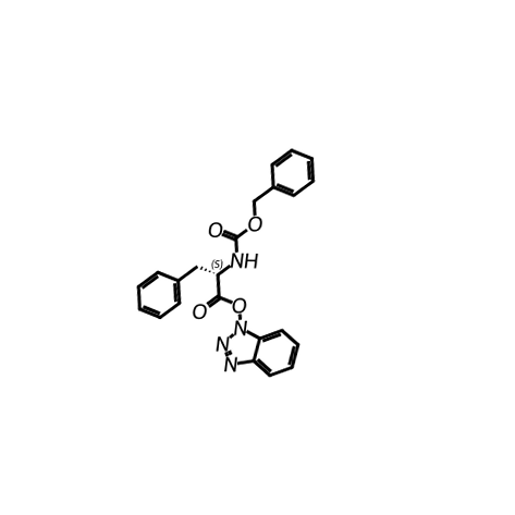 O=C(N[C@@H](Cc1ccccc1)C(=O)On1nnc2ccccc21)OCc1ccccc1